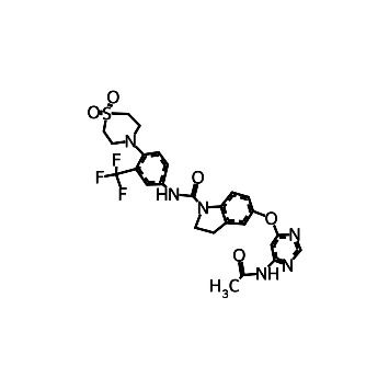 CC(=O)Nc1cc(Oc2ccc3c(c2)CCN3C(=O)Nc2ccc(N3CCS(=O)(=O)CC3)c(C(F)(F)F)c2)ncn1